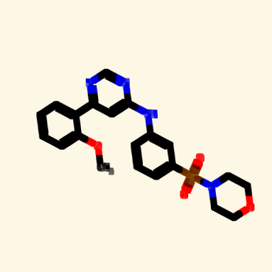 COc1ccccc1-c1cc(Nc2cccc(S(=O)(=O)N3CCOCC3)c2)ncn1